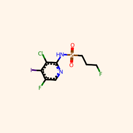 O=S(=O)(CCCF)Nc1ncc(F)c(I)c1Cl